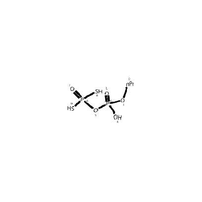 CCCOP(=O)(O)OP(=O)(S)S